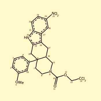 COc1cccc(C23CCN(C(=O)OCC(Cl)(Cl)Cl)CC2Cc2c([nH]c4ccc([N+](=O)[O-])cc24)C3)c1